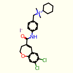 C[N+](C)(Cc1ccc(NC(=O)C2=Cc3cc(Cl)c(Cl)cc3OCC2)cc1)C1CCCCC1.[I-]